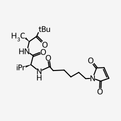 CC(C)[C@H](NC(=O)CCCCCN1C(=O)C=CC1=O)C(=O)N[C@@H](C)C(=O)C(C)(C)C